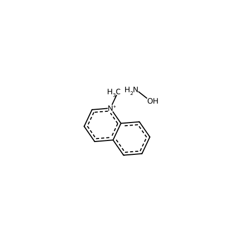 C[n+]1cccc2ccccc21.NO